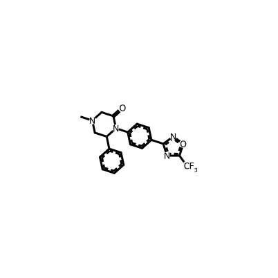 CN1CC(=O)N(c2ccc(-c3noc(C(F)(F)F)n3)cc2)C(c2ccccc2)C1